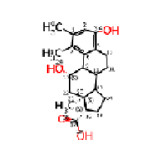 Cc1cc(O)c2c(c1C)C1C(CC2)C2CC[C@H](C(=O)O)[C@@]2(C)C[C@@H]1O